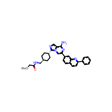 COCC(=O)NC[C@H]1CC[C@H](c2ncc3c(N)nc(-c4ccc5ccc(-c6ccccc6)nc5c4)cn32)CC1